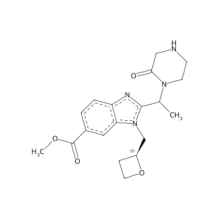 COC(=O)c1ccc2nc(C(C)N3CCNCC3=O)n(C[C@@H]3CCO3)c2c1